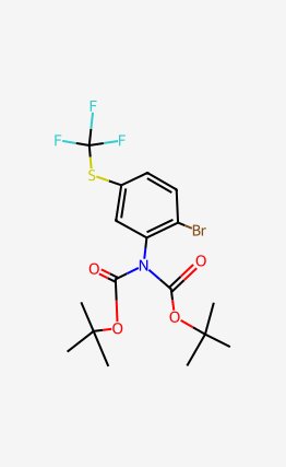 CC(C)(C)OC(=O)N(C(=O)OC(C)(C)C)c1cc(SC(F)(F)F)ccc1Br